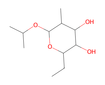 CCC1OC(OC(C)C)C(C)C(O)C1O